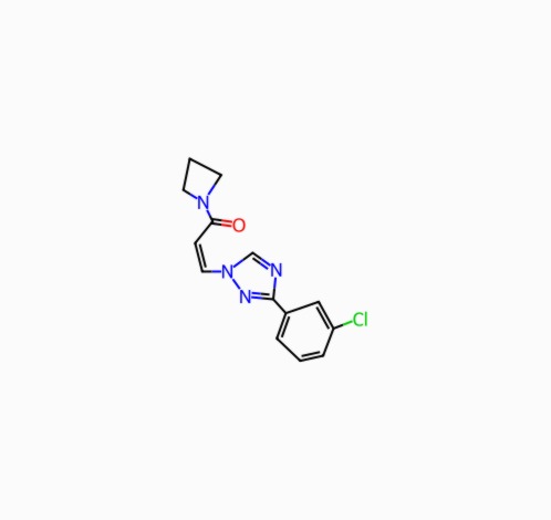 O=C(/C=C\n1cnc(-c2cccc(Cl)c2)n1)N1CCC1